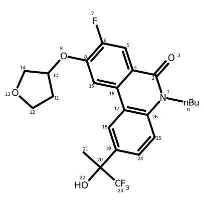 CCCCn1c(=O)c2cc(F)c(OC3CCOC3)cc2c2cc(C(C)(O)C(F)(F)F)ccc21